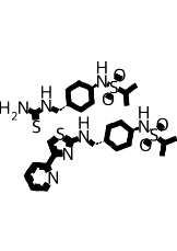 CC(C)S(=O)(=O)N[C@H]1CC[C@H](CNC(N)=S)CC1.CC(C)S(=O)(=O)N[C@H]1CC[C@H](CNc2nc(-c3ccccn3)cs2)CC1